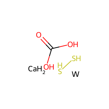 O=C(O)O.SS.[CaH2].[W]